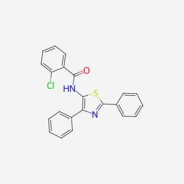 O=C(Nc1sc(-c2ccccc2)nc1-c1ccccc1)c1ccccc1Cl